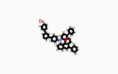 Brc1ccc(-c2cccc(-c3ccc(N(c4ccc(-c5ccccc5)cc4)c4cccc5cc(-c6ccccc6)c6ccccc6c45)cc3)c2)cc1